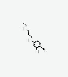 CCNCCCNc1ccc(C#N)c(Cl)c1